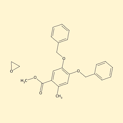 C1CO1.COC(=O)c1cc(OCc2ccccc2)c(OCc2ccccc2)cc1C